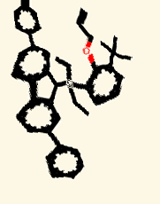 C=CCOc1c(C(C)(C)C)cccc1[Si](CC)(CC)C1c2cc(-c3ccccc3)ccc2-c2ccc(-c3ccccc3)cc21